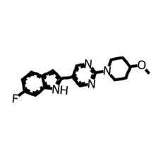 COC1CCN(c2ncc(-c3cc4ccc(F)cc4[nH]3)cn2)CC1